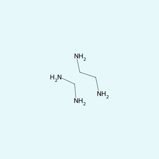 NCCN.NCN